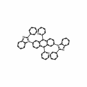 c1ccc(-c2nc3ccccc3n2-c2ccc3c(-c4ccccn4)c4cc(-n5c(-c6ccccc6)nc6ccccc65)ccc4c(-c4ccccn4)c3c2)cc1